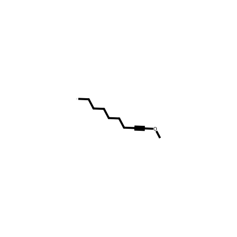 [CH2]CCCCCCC#COC